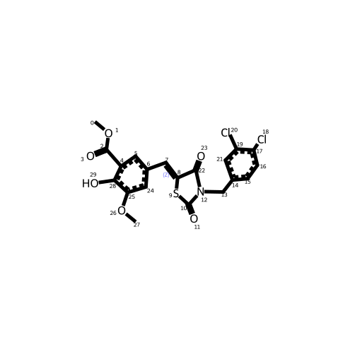 COC(=O)c1cc(/C=C2\SC(=O)N(Cc3ccc(Cl)c(Cl)c3)C2=O)cc(OC)c1O